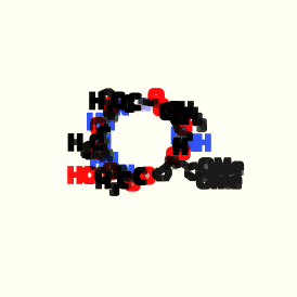 COc1ccc(CC[C@H]2OC(=O)[C@@H]3CNCCN3C(=O)C(=O)C(C)(C)COC(=O)/C=C/CCN(C)C(=O)[C@@H](Cc3ccccc3)NC(=O)CN(C)C(=O)[C@@H](Cc3ccccc3)NC(=O)[C@H](Cc3ccc(O)cc3)N(C)C(=O)COc3cccc2c3)cc1OC